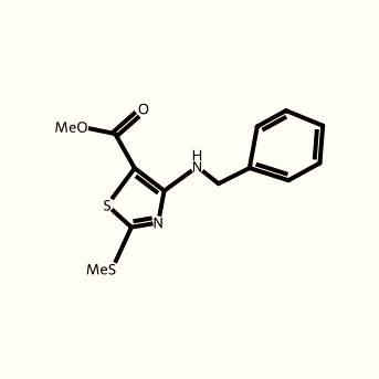 COC(=O)c1sc(SC)nc1NCc1ccccc1